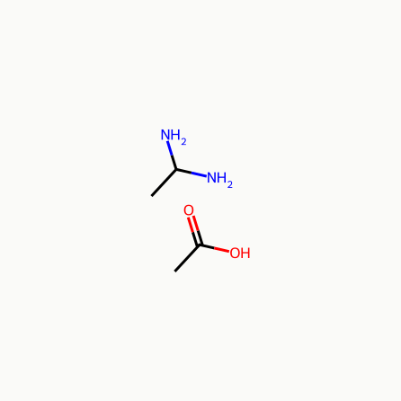 CC(=O)O.CC(N)N